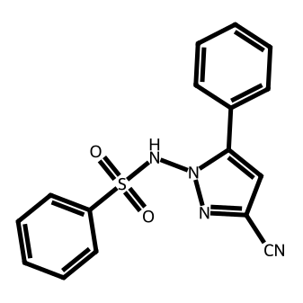 N#Cc1cc(-c2ccccc2)n(NS(=O)(=O)c2ccccc2)n1